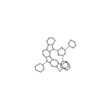 c1ccc(-c2cc(-c3ccccc3)nc(-n3c4ccccc4c4ccc5c(c6cc7c(cc6n5-c5ccccc5)oc5ccccc57)c43)n2)cc1